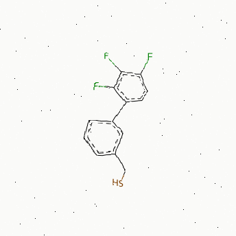 Fc1ccc(-c2cccc(CS)c2)c(F)c1F